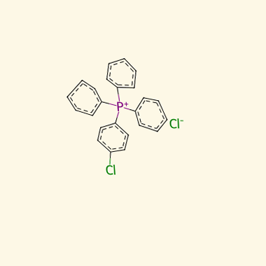 Clc1ccc([P+](c2ccccc2)(c2ccccc2)c2ccccc2)cc1.[Cl-]